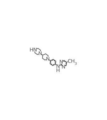 Cc1cnc(Nc2ccc(N3CCC(N4CCNCC4)CC3)cc2)nc1